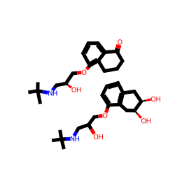 CC(C)(C)NCC(O)COc1cccc2c1C[C@H](O)[C@H](O)C2.CC(C)(C)NC[C@H](O)COc1cccc2c1CCCC2=O